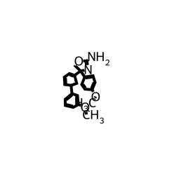 COc1ccc(C2(C3=CC=CC(c4cccc(OC)c4)C3)COC(N)=N2)cc1